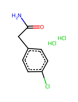 Cl.Cl.NC(=O)Cc1ccc(Cl)cc1